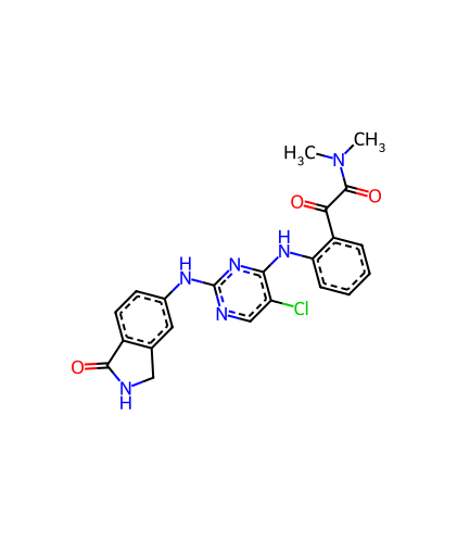 CN(C)C(=O)C(=O)c1ccccc1Nc1nc(Nc2ccc3c(c2)CNC3=O)ncc1Cl